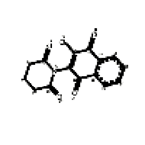 O=C1C(Cl)=C(N2C(=O)CCCC2=O)C(=O)c2ccccc21